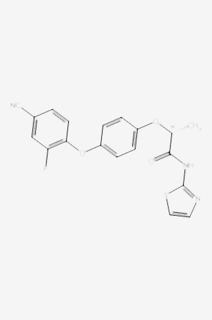 C[C@@H](Oc1ccc(Oc2ccc(C#N)cc2F)cc1)C(=O)Nc1nccs1